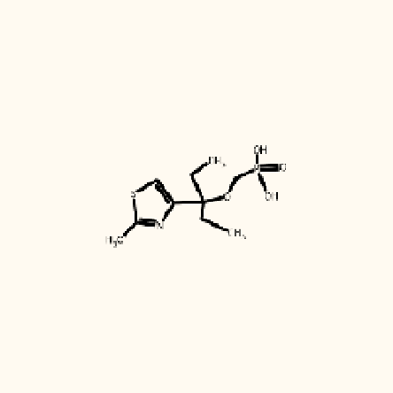 CCC(CC)(OCP(=O)(O)O)c1csc(C)n1